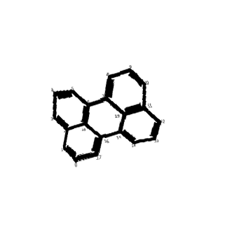 [c]1cc2cc[c]c3c4cccc5cccc(c(c1)c23)c54